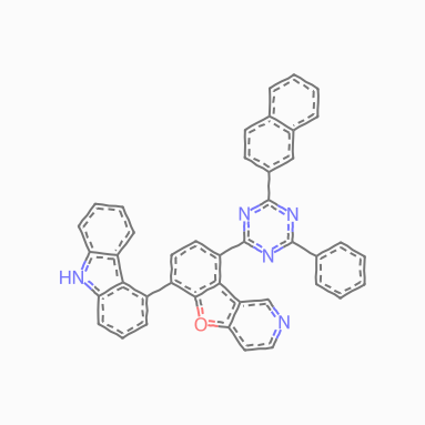 c1ccc(-c2nc(-c3ccc4ccccc4c3)nc(-c3ccc(-c4cccc5[nH]c6ccccc6c45)c4oc5ccncc5c34)n2)cc1